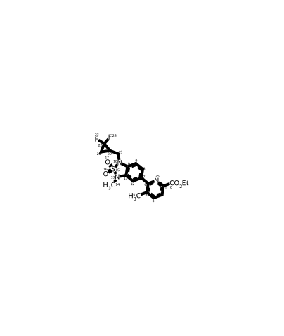 CCOC(=O)c1ccc(C)c(-c2ccc3c(c2)N(C)S(=O)(=O)N3CC2CC2(F)F)n1